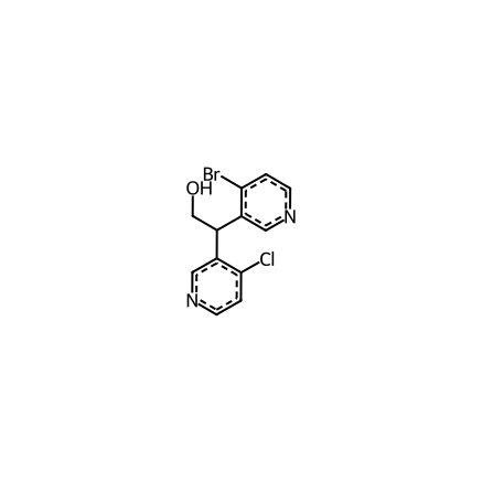 OCC(c1cnccc1Cl)c1cnccc1Br